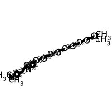 CC(C)OCCOCCOCCOCCOCCOCCOCCOCCOc1ccc2nc(/C=C/c3ccc(N(C)C)cc3)oc2c1